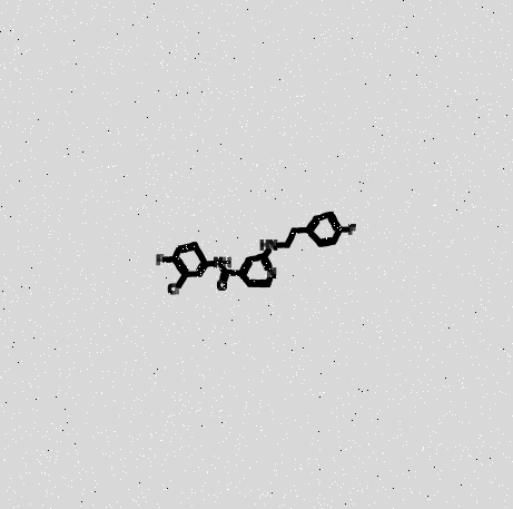 O=C(Nc1ccc(F)c(Cl)c1)c1ccnc(NCCc2ccc(F)cc2)c1